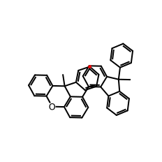 CC1(c2ccccc2)c2ccccc2-c2c(-c3cccc4c3C(C)(c3ccccc3)c3ccccc3O4)cccc21